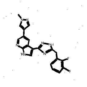 Cn1cc(-c2cnc3[nH]cc(-c4n[nH]c(Cc5cccc(F)c5F)n4)c3c2)cn1